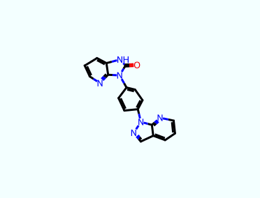 O=c1[nH]c2cccnc2n1-c1ccc(-n2ncc3cccnc32)cc1